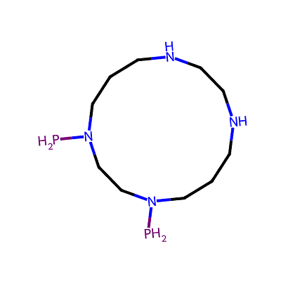 PN1CCCNCCNCCCN(P)CC1